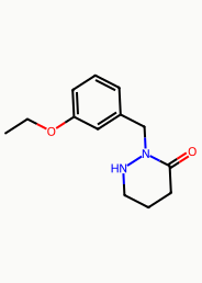 CCOc1cccc(CN2NCCCC2=O)c1